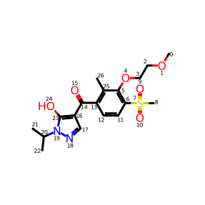 COCCOc1c(S(C)(=O)=O)ccc(C(=O)c2cnn(C(C)C)c2O)c1C